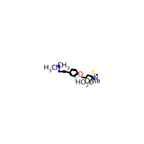 COC(COc1ccc(C#CCN(C)C)cc1F)Cc1scnc1C(=O)O